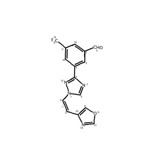 O=Cc1cc(-c2ncn(/C=C\c3cocn3)n2)cc(C(F)(F)F)c1